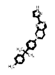 Cc1ccc(C(C)(C)c2ccc(N3CCc4cnc(-c5cc[nH]n5)nc4C3)cc2)cc1